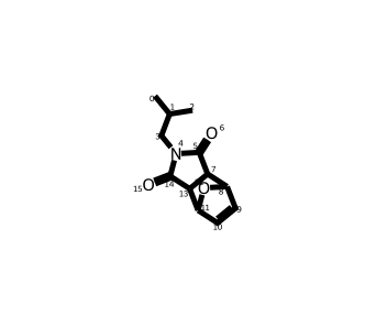 CC(C)CN1C(=O)C2C3C=CC(O3)C2C1=O